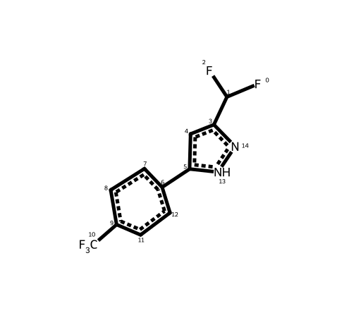 FC(F)c1cc(-c2ccc(C(F)(F)F)cc2)[nH]n1